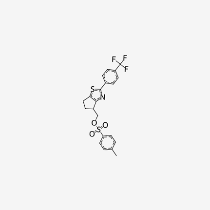 Cc1ccc(S(=O)(=O)OCC2CCc3sc(-c4ccc(C(F)(F)F)cc4)nc32)cc1